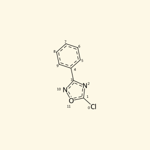 Clc1nc(-c2ccccc2)no1